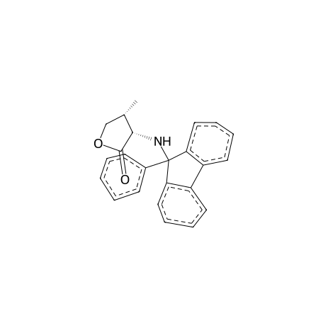 C[C@H]1COC(=O)[C@H]1NC1(c2ccccc2)c2ccccc2-c2ccccc21